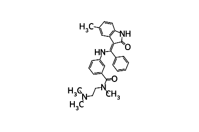 Cc1ccc2c(c1)C(=C(Nc1cccc(C(=O)N(C)CCN(C)C)c1)c1ccccc1)C(=O)N2